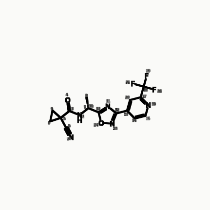 C[C@H](NC(=O)C1(C#N)CC1)c1nc(-c2ccnc(C(F)(F)F)c2)no1